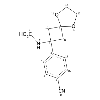 N#Cc1ccc(C2(NC(=O)O)CC3(C2)OCCO3)cc1